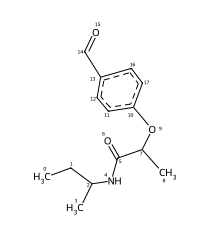 CCC(C)NC(=O)C(C)Oc1ccc(C=O)cc1